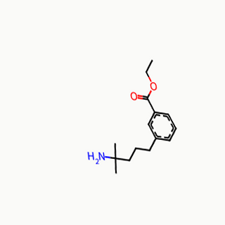 CCOC(=O)c1cccc(CCCC(C)(C)N)c1